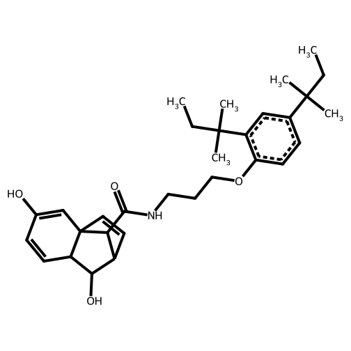 CCC(C)(C)c1ccc(OCCCNC(=O)C2C3C=CC24C=C(O)C=CC4C3O)c(C(C)(C)CC)c1